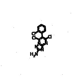 Nc1nc2nc(Cl)c(-c3ccccc3Cl)c(Cl)n2n1